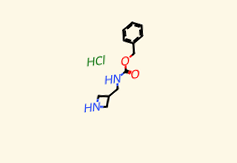 Cl.O=C(NCC1CNC1)OCc1ccccc1